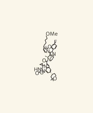 COCCCCCn1ccn(-c2c(-c3ccc(F)cc3)nn3c2[C@H](C)N(C(=O)c2cc4cc([C@@H]5CCOC(C)(C)C5)ccc4n2C2(c4noc(=O)[nH]4)CC2)CC3)c1=O